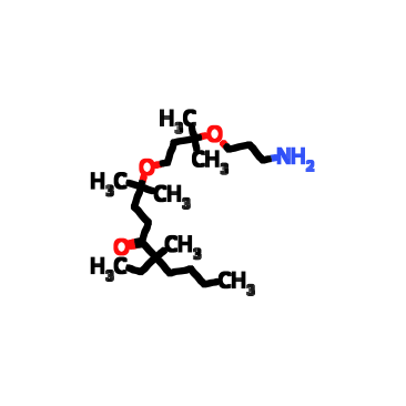 CCCCC(C)(CC)C(=O)CCC(C)(C)OCCC(C)(C)OCCCN